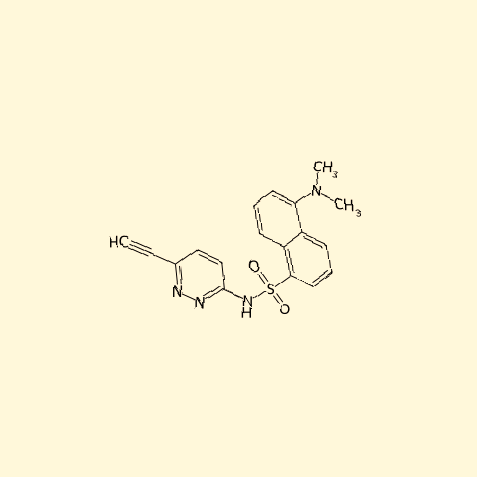 C#Cc1ccc(NS(=O)(=O)c2cccc3c(N(C)C)cccc23)nn1